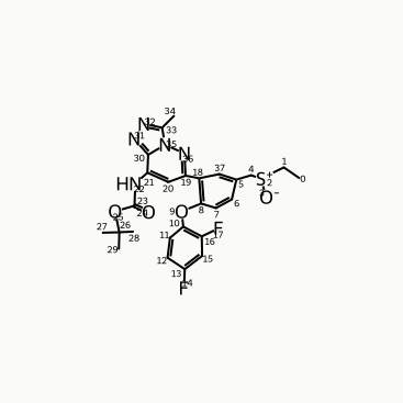 CC[S+]([O-])Cc1ccc(Oc2ccc(F)cc2F)c(-c2cc(NC(=O)OC(C)(C)C)c3nnc(C)n3n2)c1